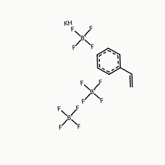 C=Cc1ccccc1.F[B-](F)(F)F.F[B-](F)(F)F.F[B-](F)(F)F.[KH]